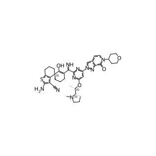 C[C@H](Oc1cc(-n2cc3ccn(C4CCOCC4)c(=O)c3n2)nc(C(=N)C2=C(O)[C@@]3(CCC2)CCCc2sc(N)c(C#N)c23)n1)[C@@H]1CCCN1C